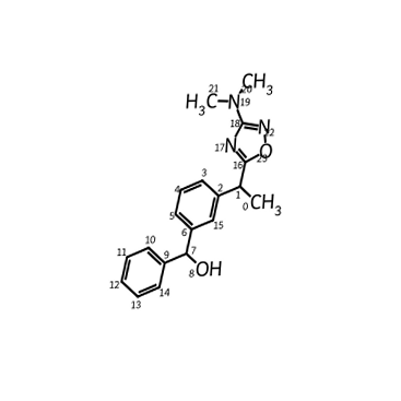 CC(c1cccc(C(O)c2ccccc2)c1)c1nc(N(C)C)no1